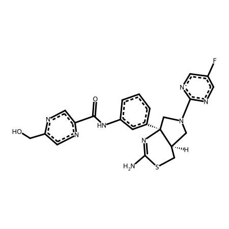 NC1=N[C@@]2(c3cccc(NC(=O)c4cnc(CO)cn4)c3)CN(c3ncc(F)cn3)C[C@H]2CS1